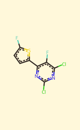 Fc1ccc(-c2nc(Cl)nc(Cl)c2F)s1